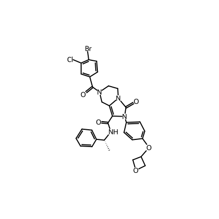 C[C@@H](NC(=O)c1c2n(c(=O)n1-c1ccc(OC3COC3)cc1)CCN(C(=O)c1ccc(Br)c(Cl)c1)C2)c1ccccc1